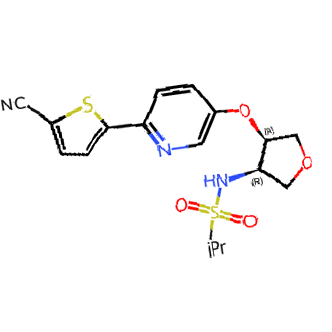 CC(C)S(=O)(=O)N[C@@H]1COC[C@@H]1Oc1ccc(-c2ccc(C#N)s2)nc1